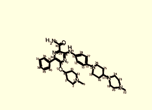 CN1CCC(Oc2nc(Nc3ccc(N4CCC(N5CCN(C)CC5)CC4)cc3)c(C(N)=O)nc2-c2ccccc2)CC1